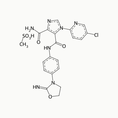 CS(=O)(=O)O.N=C1OCCN1c1ccc(NC(=O)c2c(C(N)=O)ncn2-c2ccc(Cl)cn2)cc1